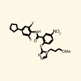 COCCCn1cnnc1Sc1ccc([N+](=O)[O-])cc1C(=O)Nc1c(F)cc(C2CCCC2)cc1F